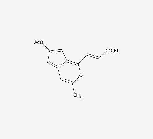 CCOC(=O)C=Cc1oc(C)cc2cc(OC(C)=O)cc1-2